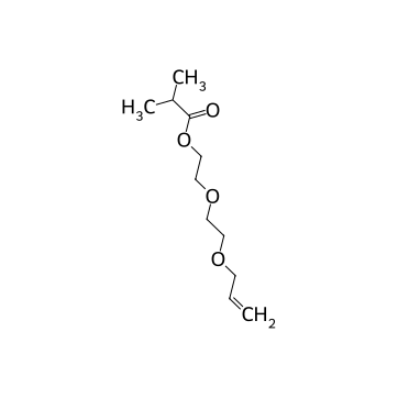 C=CCOCCOCCOC(=O)C(C)C